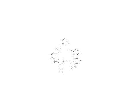 NC(=O)CC(CC(N)=O)N1Cc2c(NC(=O)OCc3ccccc3)cccc2C1=O.Nc1cccc2c1CN(C1CCC(=O)NC1=O)C2=O